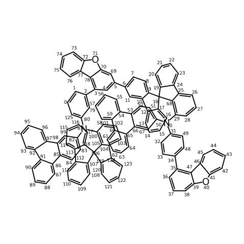 c1cc(-c2cc(-c3ccc4c(c3)-c3ccccc3C43c4ccccc4-c4cccc(N(c5ccc(-c6cccc7oc8ccccc8c67)cc5)c5ccc6c7ccccc7c7ccccc7c6c5)c43)cc3oc4ccccc4c23)cc(N(c2ccc3c4ccccc4c4ccccc4c3c2)c2cccc3c2C2(c4ccccc4-c4ccccc42)c2ccccc2-3)c1